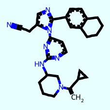 C=C(C1CC1)N1CCCC(Nc2nccc(-n3c(CC#N)cnc3-c3ccc4c(c3)CCCC4)n2)C1